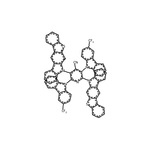 N#Cc1c(-n2c3ccccc3c3cc(C(F)(F)F)ccc32)c(-n2c3ccccc3c3cc4c(cc32)sc2ccccc24)nc(-n2c3ccccc3c3cc(C(F)(F)F)ccc32)c1-n1c2ccccc2c2cc3c(cc21)sc1ccccc13